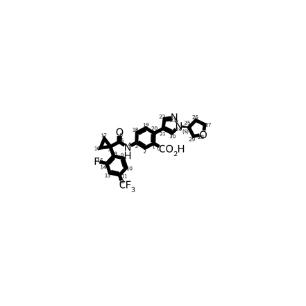 O=C(O)c1cc(NC(=O)C2(c3ccc(C(F)(F)F)cc3F)CC2)ccc1-c1cnn([C@H]2CCOC2)c1